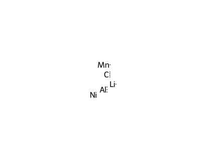 [Al].[C].[Li].[Mn].[Ni]